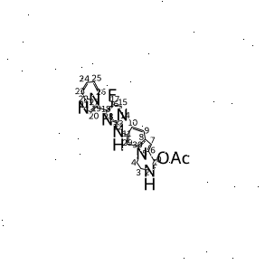 CC(=O)OC1NCCn2c1cc1ccc(Nc3ncc(F)c(-c4cnc5ccccn45)n3)cc12